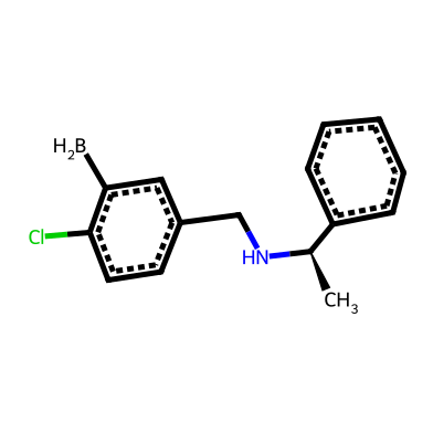 Bc1cc(CN[C@H](C)c2ccccc2)ccc1Cl